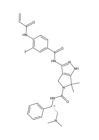 C=CC(=O)Nc1ccc(C(=O)Nc2n[nH]c3c2CN(C(=O)N[C@H](CN(C)C)c2ccccc2)C3(C)C)cc1F